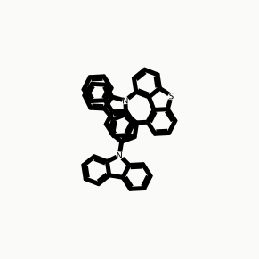 c1ccc(-c2cccc(-c3cccc4sc5cccc(-n6c7ccccc7c7cc(-n8c9ccccc9c9ccccc98)ccc76)c5c34)c2)cc1